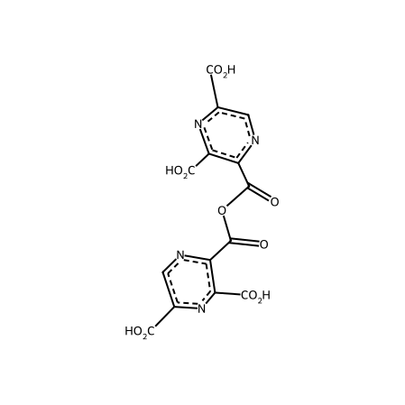 O=C(O)c1cnc(C(=O)OC(=O)c2ncc(C(=O)O)nc2C(=O)O)c(C(=O)O)n1